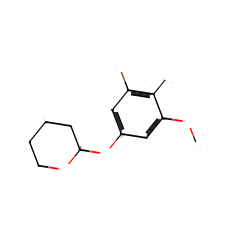 CCCCOc1cc(OC2CCCCO2)cc(Br)c1C=O